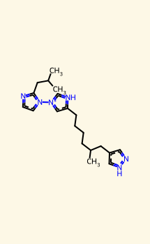 CC(C)Cc1nccn1-[n+]1c[nH]c(CCCCC(C)Cc2cn[nH]c2)c1